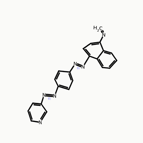 C=Nc1ccc(/N=N/c2ccc(/N=N/c3cccnc3)cc2)c2ccccc12